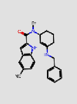 CCN(C(=O)c1cc2cc(C#N)ccc2[nH]1)[C@@H]1C=C(NCc2ccccc2)CCC1